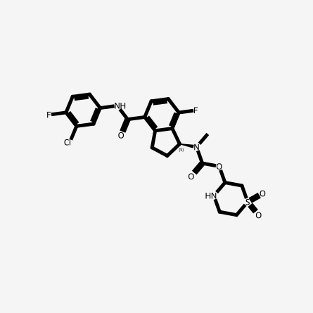 CN(C(=O)OC1CS(=O)(=O)CCN1)[C@H]1CCc2c(C(=O)Nc3ccc(F)c(Cl)c3)ccc(F)c21